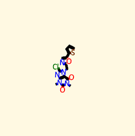 Cn1c(=O)c2c(nc(Cl)n2Cc2ncc(-c3cccs3)o2)n(C)c1=O